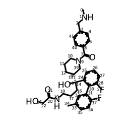 CNCc1ccc(C(=O)N2CCC[C@@H](C(O)(CCCNC(=O)CO)c3cccc(F)c3-c3cc(C)ccc3F)C2)cc1